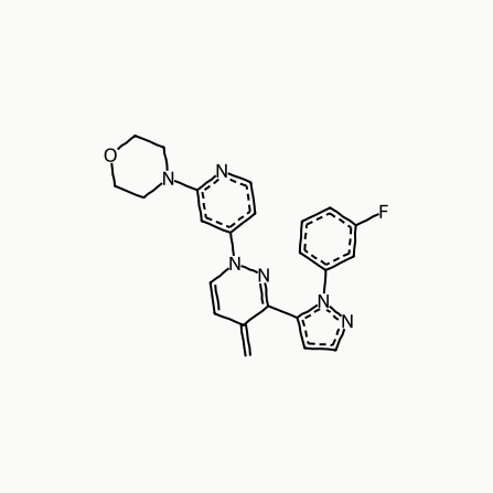 C=C1C=CN(c2ccnc(N3CCOCC3)c2)N=C1c1ccnn1-c1cccc(F)c1